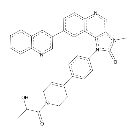 CC(O)C(=O)N1CC=C(c2ccc(-n3c(=O)n(C)c4cnc5ccc(-c6cnc7ccccc7c6)cc5c43)cc2)CC1